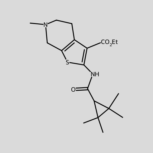 CCOC(=O)c1c(NC(=O)C2C(C)(C)C2(C)C)sc2c1CCN(C)C2